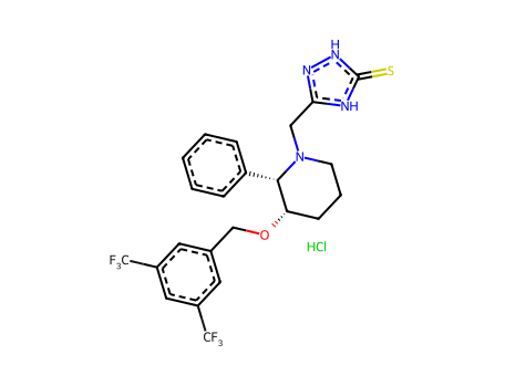 Cl.FC(F)(F)c1cc(CO[C@H]2CCCN(Cc3n[nH]c(=S)[nH]3)[C@H]2c2ccccc2)cc(C(F)(F)F)c1